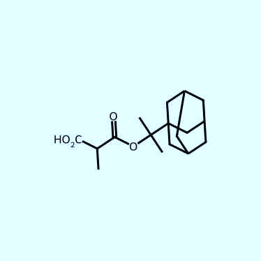 CC(C(=O)O)C(=O)OC(C)(C)C12CC3CC(CC(C3)C1)C2